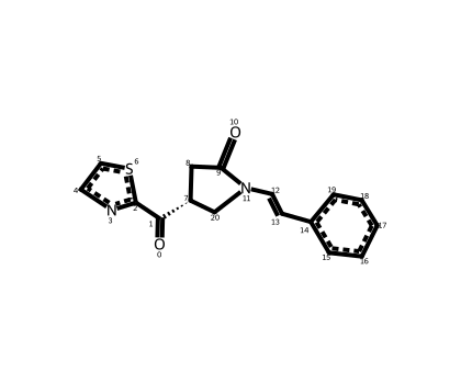 O=C(c1nccs1)[C@@H]1CC(=O)N(C=Cc2ccccc2)C1